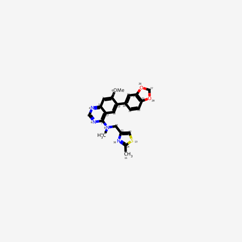 COc1cc2ncnc(N(C)Cc3csc(C)n3)c2cc1-c1ccc2c(c1)OCO2